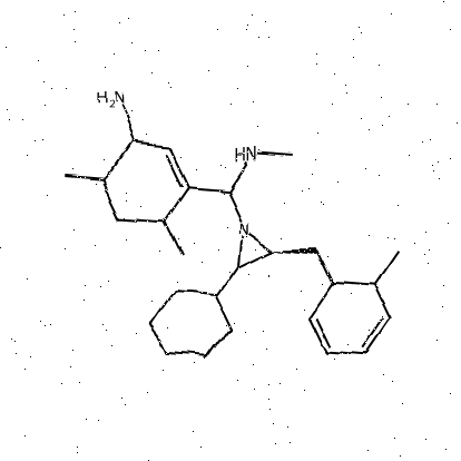 CNC(C1=CC(N)C(C)CC1C)N1C(C2CCCCC2)[C@@H]1CC1C=CC=CC1C